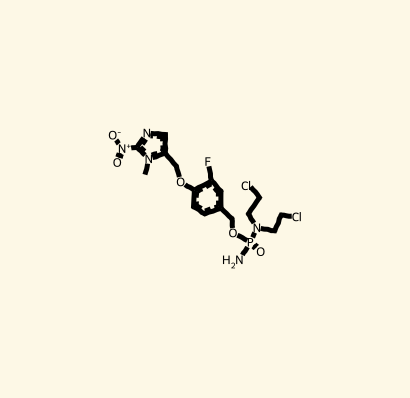 Cn1c(COc2ccc(COP(N)(=O)N(CCCl)CCCl)cc2F)cnc1[N+](=O)[O-]